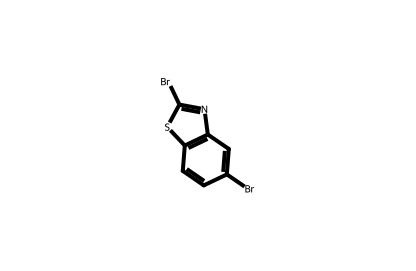 Brc1ccc2sc(Br)nc2c1